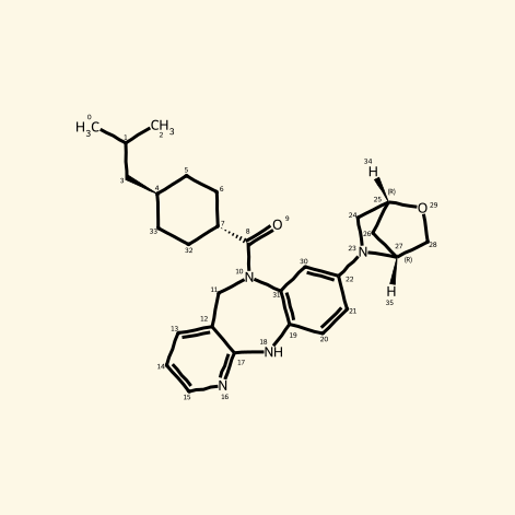 CC(C)C[C@H]1CC[C@H](C(=O)N2Cc3cccnc3Nc3ccc(N4C[C@H]5C[C@@H]4CO5)cc32)CC1